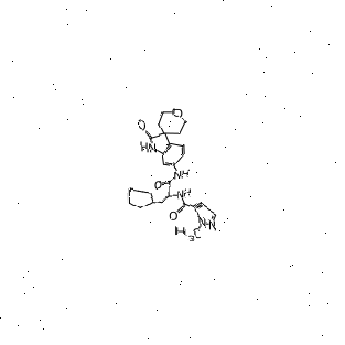 Cn1nccc1C(=O)NC(=CC1CCCC1)C(=O)Nc1ccc2c(c1)NC(=O)C21CCOCC1